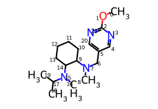 COc1ncc(CN(C)C2CCCCC2N(C)C(C)C)cn1